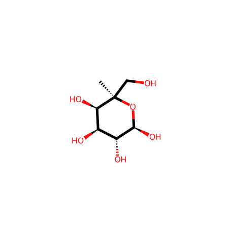 C[C@]1(CO)O[C@@H](O)[C@H](O)[C@@H](O)[C@H]1O